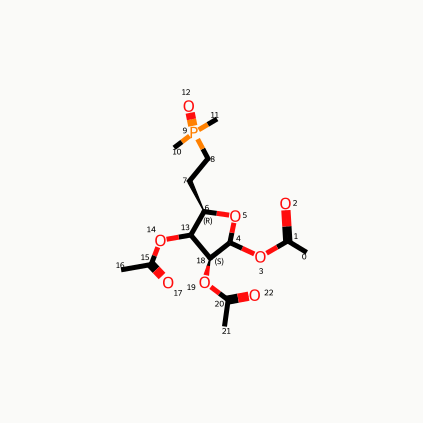 CC(=O)OC1O[C@H](CCP(C)(C)=O)C(OC(C)=O)[C@@H]1OC(C)=O